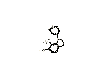 Cc1ccc2c(c1C)N(c1ccncc1)CC2